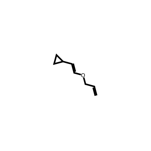 C=CCOC=CC1CC1